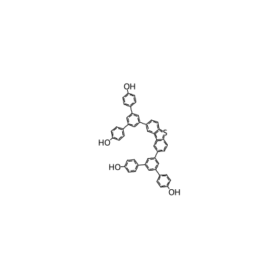 Oc1ccc(-c2cc(-c3ccc(O)cc3)cc(-c3ccc4sc5ccc(-c6cc(-c7ccc(O)cc7)cc(-c7ccc(O)cc7)c6)cc5c4c3)c2)cc1